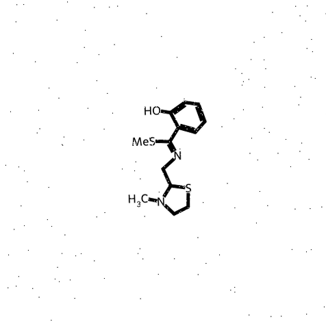 CS/C(=N\CC1SCCN1C)c1ccccc1O